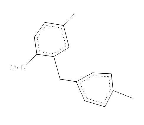 CNc1ccc(C)cc1Cc1ccc(C)cc1